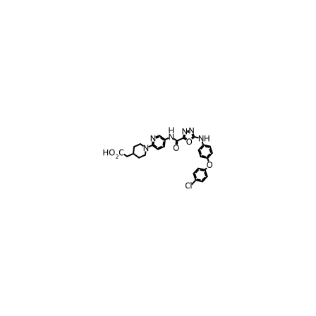 O=C(O)CC1CCN(c2ccc(NC(=O)c3nnc(Nc4ccc(Oc5ccc(Cl)cc5)cc4)o3)cn2)CC1